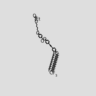 CCC1(COCCCCCCOc2ccc(C(=O)Oc3ccc(C#Cc4ccc(OC(F)(F)C(F)(F)C(F)(F)C(F)(F)C(F)(F)C(F)(F)C(F)(F)C(F)(F)C(F)(F)C(F)(F)C(F)(F)F)cc4)cc3)cc2)COC1